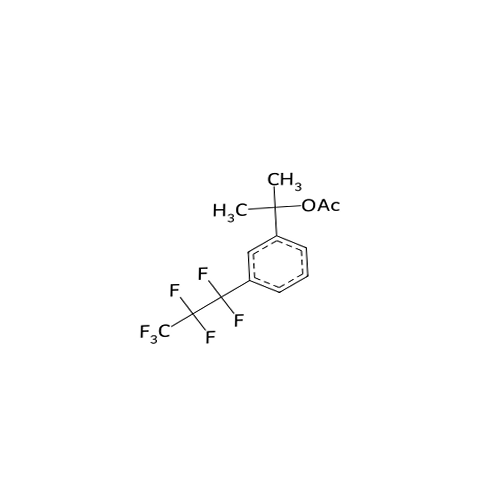 CC(=O)OC(C)(C)c1cccc(C(F)(F)C(F)(F)C(F)(F)F)c1